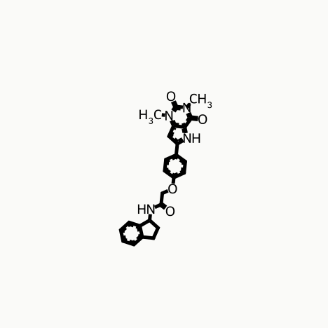 Cn1c(=O)c2[nH]c(-c3ccc(OCC(=O)NC4CCc5ccccc54)cc3)cc2n(C)c1=O